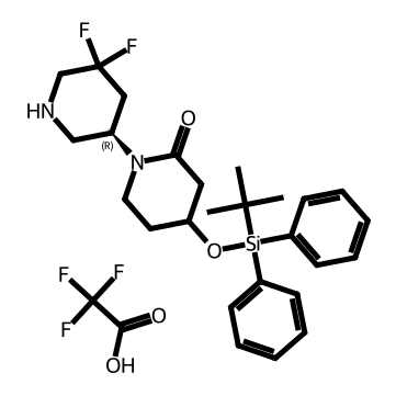 CC(C)(C)[Si](OC1CCN([C@H]2CNCC(F)(F)C2)C(=O)C1)(c1ccccc1)c1ccccc1.O=C(O)C(F)(F)F